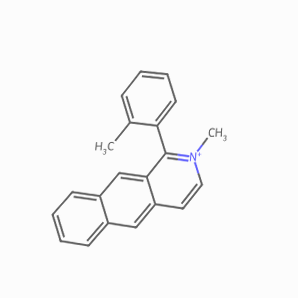 Cc1ccccc1-c1c2cc3ccccc3cc2cc[n+]1C